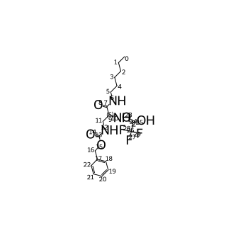 CCCCCCNC(=O)[C@@H](N)CNC(=O)OCc1ccccc1.O=C(O)C(F)(F)F